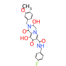 COc1cccc(CN2C(=O)c3c(O)c(=O)c(C(=O)NCc4ccc(F)cc4)cn3CC2O)c1